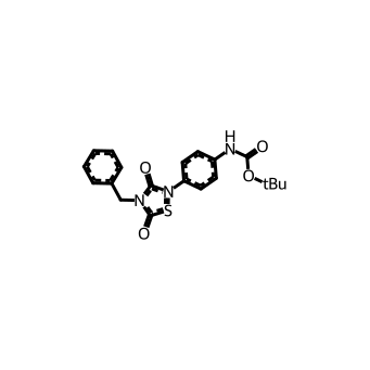 CC(C)(C)OC(=O)Nc1ccc(-n2sc(=O)n(Cc3ccccc3)c2=O)cc1